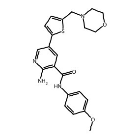 COc1ccc(NC(=O)c2cc(-c3ccc(CN4CCOCC4)s3)cnc2N)cc1